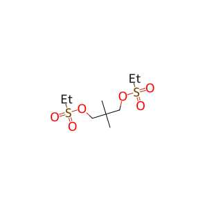 CCS(=O)(=O)OCC(C)(C)COS(=O)(=O)CC